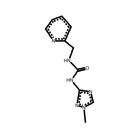 Cn1cnc(NC(=O)NCc2ccccn2)n1